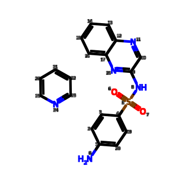 Nc1ccc(S(=O)(=O)Nc2cnc3ccccc3n2)cc1.c1ccncc1